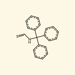 S=CNC(c1ccccc1)(c1ccccc1)c1ccccc1